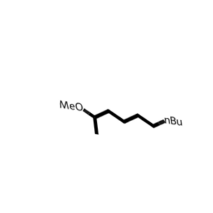 CCCCCCCCC(C)OC